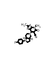 Cc1nc2c(N3CC[C@@H]4[C@@H](CCN4c4ccc(F)cc4)C3)c(C#N)c(=O)n(C)c2s1